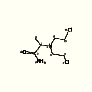 CC(C(N)=O)N(CCCl)CCCl